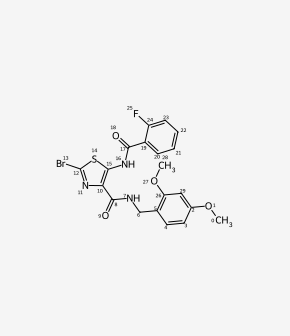 COc1ccc(CNC(=O)c2nc(Br)sc2NC(=O)c2ccccc2F)c(OC)c1